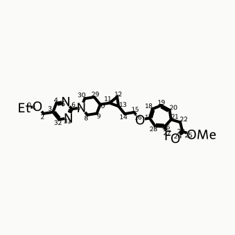 CCOCc1cnc(N2CCC(C3CC3CCOC3=CC=CC(CC(=O)OC)C(F)=C3)CC2)nc1